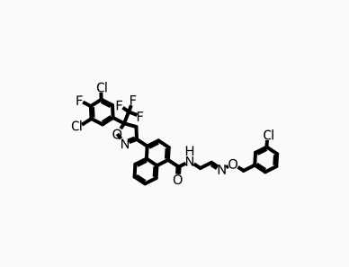 O=C(NCC=NOCc1cccc(Cl)c1)c1ccc(C2=NOC(c3cc(Cl)c(F)c(Cl)c3)(C(F)(F)F)C2)c2ccccc12